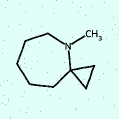 CN1CCCCCC12CC2